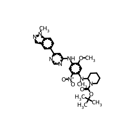 COc1cc(N(C)C2CCCCN2C(=O)OC(C)(C)C)c([N+](=O)[O-])cc1Nc1cc(-c2ccc3c(cnn3C)c2)ncn1